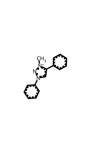 C[n+]1nn(-c2ccccc2)cc1-c1ccccc1